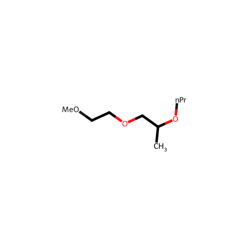 C[CH]COC(C)COCCOC